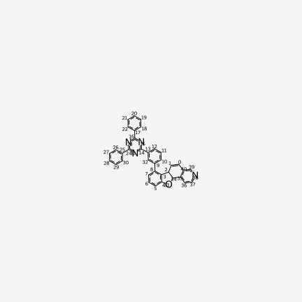 C1=CC2c3c(cccc3-c3cccc(-c4nc(-c5ccccc5)nc(-c5ccccc5)n4)c3)OC2c2ccncc21